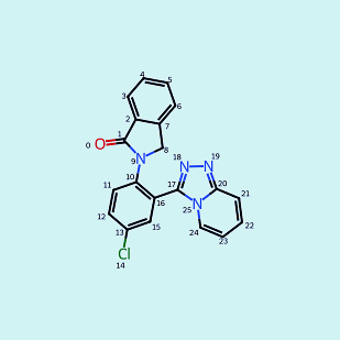 O=C1c2ccccc2CN1c1ccc(Cl)cc1-c1nnc2ccccn12